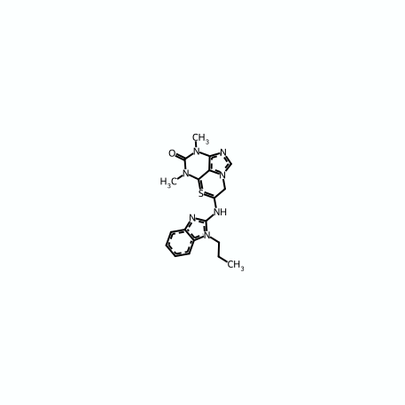 CCCn1c(NC2=S=C3c4c(ncn4C2)N(C)C(=O)N3C)nc2ccccc21